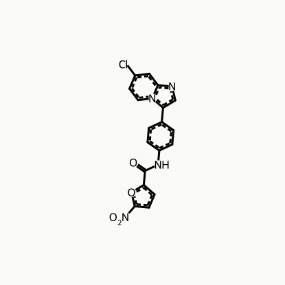 O=C(Nc1ccc(-c2cnc3cc(Cl)ccn23)cc1)c1ccc([N+](=O)[O-])o1